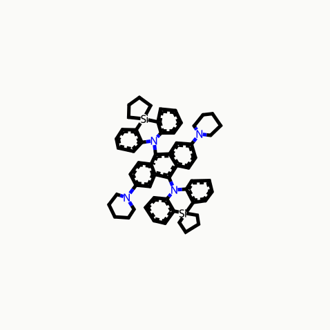 c1ccc2c(c1)N(c1c3ccc(N4CCCCC4)cc3c(N3c4ccccc4[Si]4(CCCC4)c4ccccc43)c3ccc(N4CCCCC4)cc13)c1ccccc1[Si]21CCCC1